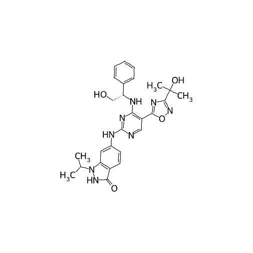 CC(C)n1[nH]c(=O)c2ccc(Nc3ncc(-c4nc(C(C)(C)O)no4)c(N[C@H](CO)c4ccccc4)n3)cc21